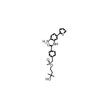 CC(C)(O)CCOP(C)(=O)Cc1ccc(C(=O)Nc2cc(-c3cccs3)ccc2N)cc1